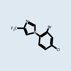 FC(F)(F)c1cn(-c2ccc(Cl)cc2Br)cn1